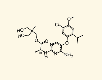 COc1cc(C(C)C)c(Oc2cnc(N[C@@H](C)C(=O)OCC(C)(CO)CO)nc2N)cc1Cl